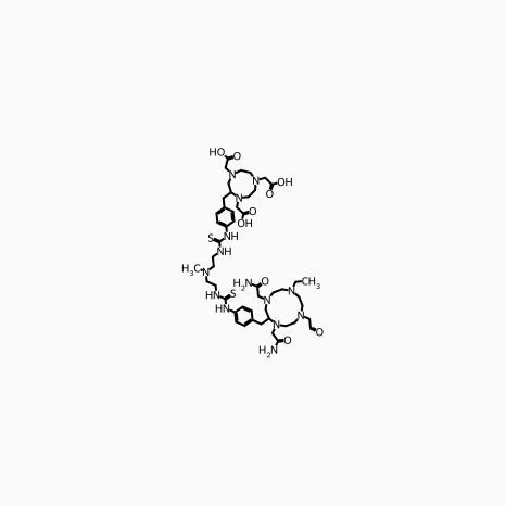 CCN1CCN(CC=O)CCN(CC(N)=O)C(Cc2ccc(NC(=S)NCCN(C)CCNC(=S)Nc3ccc(CC4CN(CC(=O)O)CCN(CC(=O)O)CCN4CC(=O)O)cc3)cc2)CN(CC(N)=O)CC1